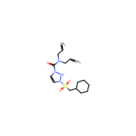 C=CCN(CC=C)C(=O)N1C=CN(S(=O)(=O)CC2CCCCC2)N1